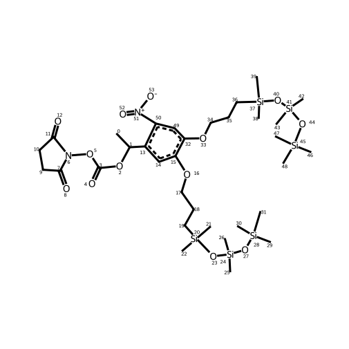 CC(OC(=O)ON1C(=O)CCC1=O)c1cc(OCCC[Si](C)(C)O[Si](C)(C)O[Si](C)(C)C)c(OCCC[Si](C)(C)O[Si](C)(C)O[Si](C)(C)C)cc1[N+](=O)[O-]